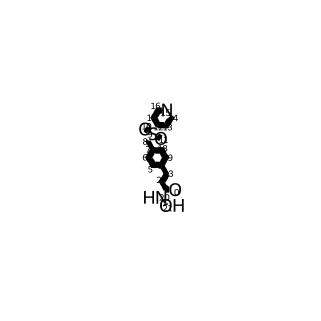 O=C(C=Cc1ccc(CS(=O)(=O)c2ccncc2)cc1)NO